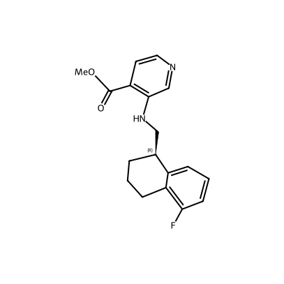 COC(=O)c1ccncc1NC[C@@H]1CCCc2c(F)cccc21